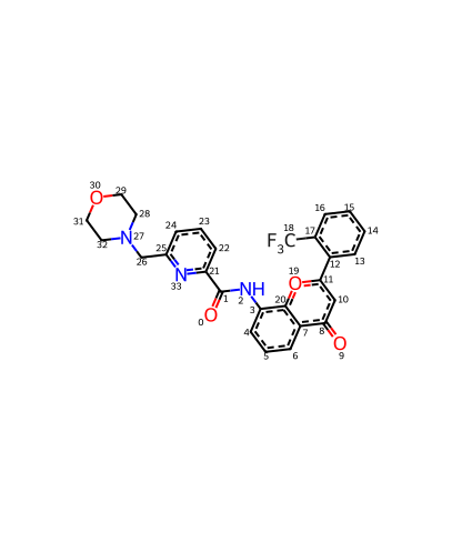 O=C(Nc1cccc2c(=O)cc(-c3ccccc3C(F)(F)F)oc12)c1cccc(CN2CCOCC2)n1